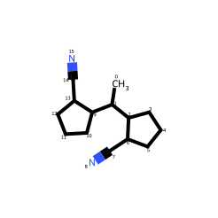 CC(C1CCCC1C#N)C1CCCC1C#N